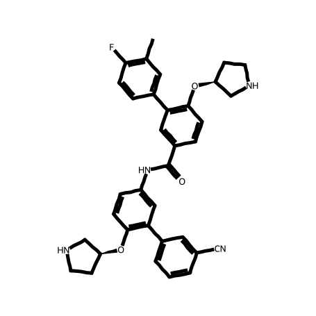 Cc1cc(-c2cc(C(=O)Nc3ccc(O[C@H]4CCNC4)c(-c4cccc(C#N)c4)c3)ccc2O[C@H]2CCNC2)ccc1F